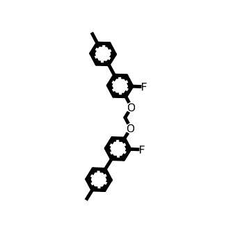 Cc1ccc(-c2ccc(OCOc3ccc(-c4ccc(C)cc4)cc3F)c(F)c2)cc1